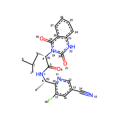 CC(C)C[C@@H](C(=O)N[C@@H](C)c1ncc(C#N)cc1F)n1c(=O)[nH]c2ccccc2c1=O